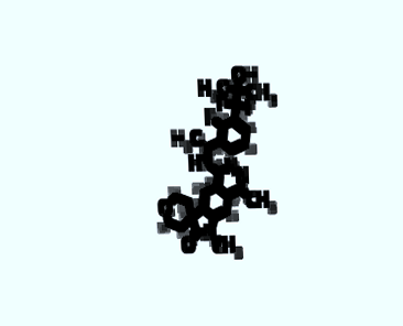 Cc1nnc(N[C@H](C)c2cccc(C(F)(F)C(C)(C)O)c2F)c2cc3c(cc12)N(C)C(=O)C31CCOCC1